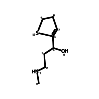 CNCCC(O)C1=CCCS1